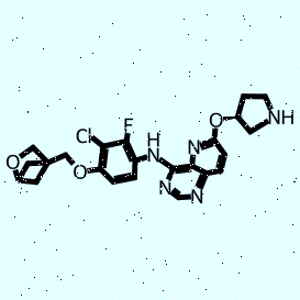 Fc1c(Nc2ncnc3ccc(O[C@H]4CCNC4)nc23)ccc(OCC23COC(C2)C3)c1Cl